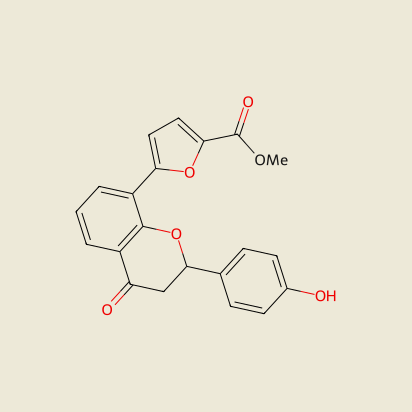 COC(=O)c1ccc(-c2cccc3c2OC(c2ccc(O)cc2)CC3=O)o1